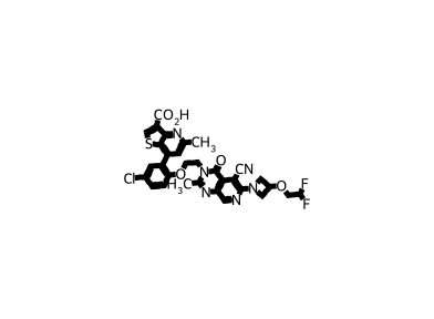 Cc1cc(-c2cc(Cl)ccc2OCCn2c(C)nc3cnc(N4CC(OCC(F)F)C4)c(C#N)c3c2=O)c2scc(C(=O)O)c2n1